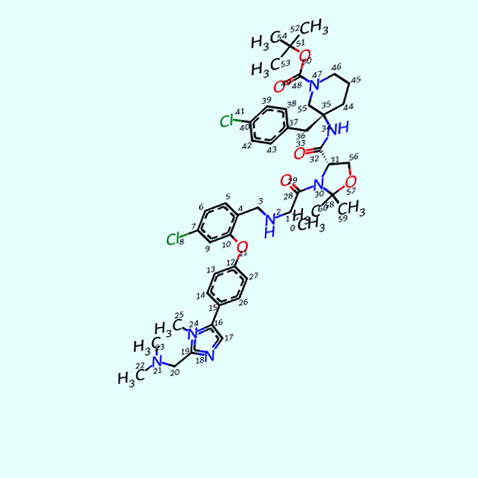 C[C@H](NCc1ccc(Cl)cc1Oc1ccc(-c2cnc(CN(C)C)n2C)cc1)C(=O)N1[C@H](C(=O)N[C@@]2(Cc3ccc(Cl)cc3)CCCN(C(=O)OC(C)(C)C)C2)COC1(C)C